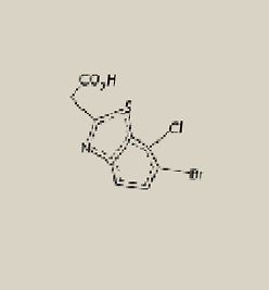 O=C(O)Cc1nc2ccc(Br)c(Cl)c2s1